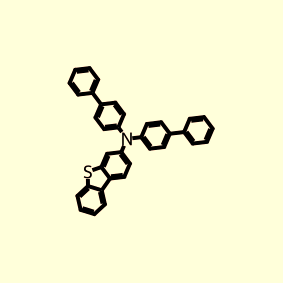 c1ccc(-c2ccc(N(c3ccc(-c4ccccc4)cc3)c3ccc4c(c3)sc3ccccc34)cc2)cc1